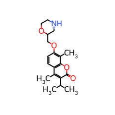 Cc1c(C(C)C)c(=O)oc2c(C)c(OCC3CNCCO3)ccc12